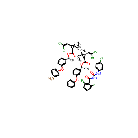 CC1(C)C(C=C(Cl)Cl)C1C(=O)OC(C#N)c1cccc(Oc2ccccc2)c1.CC1(C)[C@H](C(=O)O[C@H](C#N)c2cccc(Oc3ccccc3)c2)[C@@H]1C=C(Br)Br.O=C(NC(=O)c1c(F)cccc1F)Nc1ccc(Cl)cc1.S